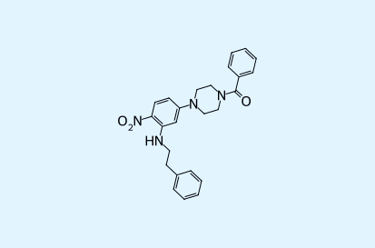 O=C(c1ccccc1)N1CCN(c2ccc([N+](=O)[O-])c(NCCc3ccccc3)c2)CC1